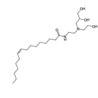 CCCCCC/C=C\CCCCCCCC(=O)NCCN(CCO)CC(O)CO